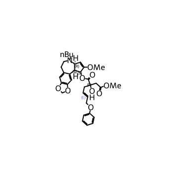 CCCCN1CCc2cc3c(cc2[C@@H]2[C@H](OC(=O)[C@@](O)(C/C=C/COc4ccccc4)CC(=O)OC)C(OC)=C[C@@H]21)OCO3